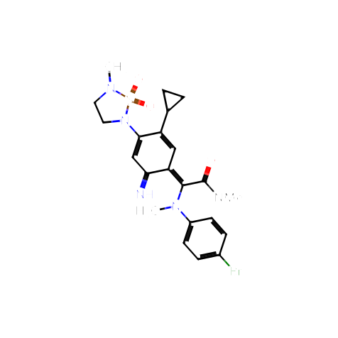 CNC(=O)/C(=C1\C=C(C2CC2)C(N2CCN(C)S2(=O)=O)=CC1=N)N(C)c1ccc(Br)cc1